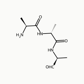 C[C@H](N)C(=O)N[C@H](C)C(=O)N[C@@H](C)C=O